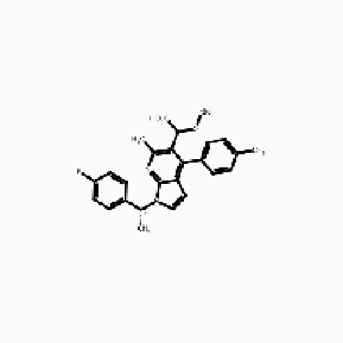 Cc1ccc(-c2c(C(OC(C)(C)C)C(=O)O)c(C)nc3c2ccn3[C@H](C)c2ccc(F)cc2)cc1